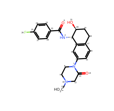 O=C(N[C@H]1c2cc(N3CCN(C(=O)O)CC3=O)ccc2CC[C@@H]1O)c1ccc(F)cc1